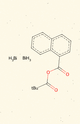 CC(C)(C)C(=O)OC(=O)c1cccc2ccccc12.[BiH3].[BiH3]